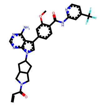 C=CC(=O)N1CC2CC(n3cc(-c4ccc(C(=O)Nc5cc(C(F)(F)F)ccn5)c(OC)c4)c4c(N)ncnc43)CC2C1